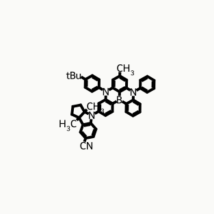 Cc1cc2c3c(c1)N(c1ccc(C(C)(C)C)cc1)c1cc(N4c5ccc(C#N)cc5C5(C)CCCC45C)ccc1B3c1ccccc1N2c1ccccc1